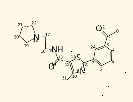 CC(=O)c1cccc(-c2nc(C)c(C(=O)NCCN3CCCC3)s2)c1